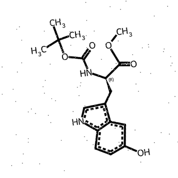 COC(=O)[C@@H](Cc1c[nH]c2ccc(O)cc12)NC(=O)OC(C)(C)C